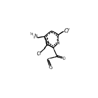 Nc1cc(Cl)nc(C(=O)C=O)c1Cl